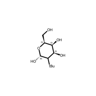 CC(C)(C)C1[C@H](O)O[C@@H](CO)[C@@H](O)[C@H]1O